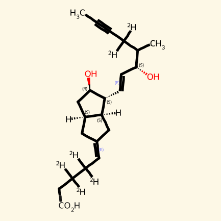 [2H]C([2H])(C#CC)C(C)[C@H](O)/C=C/[C@@H]1[C@H]2C/C(=C/C([2H])([2H])C([2H])([2H])CC(=O)O)C[C@H]2C[C@H]1O